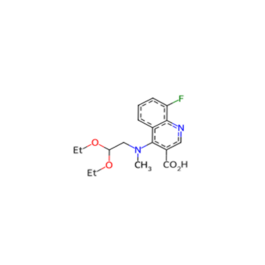 CCOC(CN(C)c1c(C(=O)O)cnc2c(F)cccc12)OCC